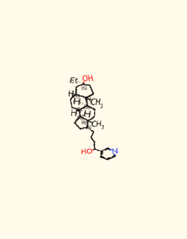 CC[C@]1(O)CC[C@@]2(C)[C@@H](CC[C@@H]3[C@@H]2CC[C@]2(C)[C@@H](CCCC(O)c4cccnc4)CC[C@@H]32)C1